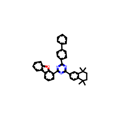 CC1(C)CCC(C)(C)c2cc(-c3nc(-c4ccc(-c5ccccc5)cc4)nc(-c4cccc5c4oc4ccccc45)n3)ccc21